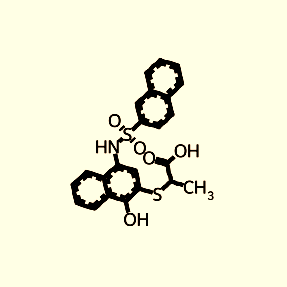 CC(Sc1cc(NS(=O)(=O)c2ccc3ccccc3c2)c2ccccc2c1O)C(=O)O